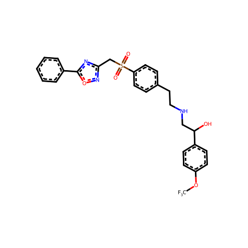 O=S(=O)(Cc1noc(-c2ccccc2)n1)c1ccc(CCNCC(O)c2ccc(OC(F)(F)F)cc2)cc1